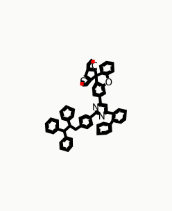 c1ccc(-c2ccccc2-c2cc(-c3ccc4c(c3)Oc3ccccc3C43c4ccccc4-c4ccccc43)nc(-c3ccc(CC(c4ccccc4)C(c4ccccc4)c4ccccc4)cc3)n2)cc1